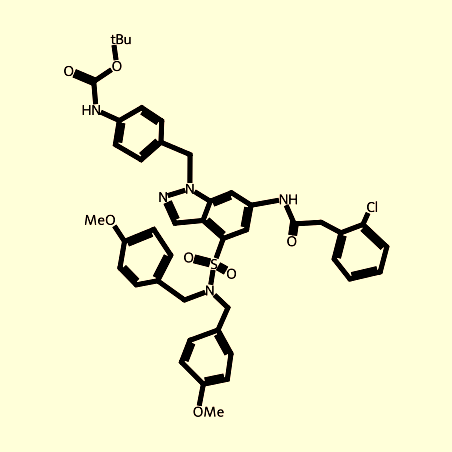 COc1ccc(CN(Cc2ccc(OC)cc2)S(=O)(=O)c2cc(NC(=O)Cc3ccccc3Cl)cc3c2cnn3Cc2ccc(NC(=O)OC(C)(C)C)cc2)cc1